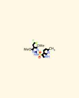 COc1nc(NS(=O)(=O)c2c[nH]c3nc(C)ccc23)nc(OC)c1CC(F)F